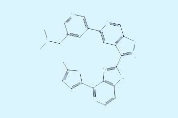 CN(C)Cc1cncc(-c2cc3c(-c4nc5c(-c6ccc(F)s6)nccc5[nH]4)n[nH]c3cn2)c1